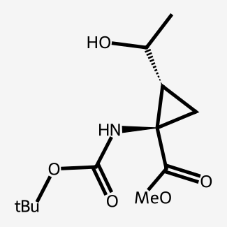 COC(=O)[C@@]1(NC(=O)OC(C)(C)C)C[C@H]1C(C)O